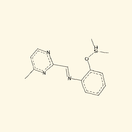 Cc1ccnc(C=Nc2ccccc2O[SiH](C)C)n1